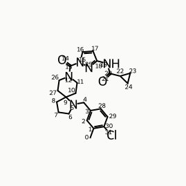 Cc1cc(CN2CCCC23CCN(C(=O)n2ccc(NC(=O)C4CC4)n2)CC3)ccc1Cl